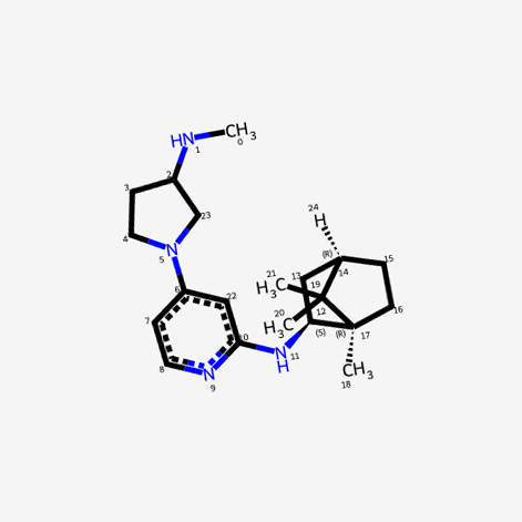 CNC1CCN(c2ccnc(N[C@H]3C[C@H]4CC[C@]3(C)C4(C)C)c2)C1